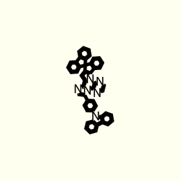 c1ccc2c(c1)-c1ccccc1C21c2ccccc2-c2c1cc1c3ncc(-c4ccc(-n5c6ccccc6c6ccccc65)cc4)n3c3nccnc3n21